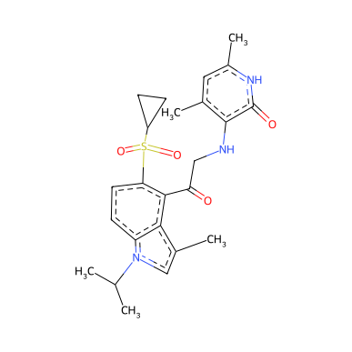 Cc1cc(C)c(NCC(=O)c2c(S(=O)(=O)C3CC3)ccc3c2c(C)cn3C(C)C)c(=O)[nH]1